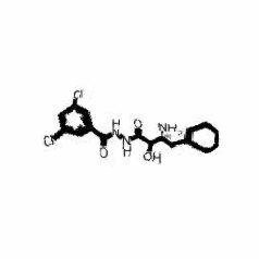 N[C@H](CC1CCCCC1)C(O)C(=O)NNC(=O)c1cc(Cl)cc(Cl)c1